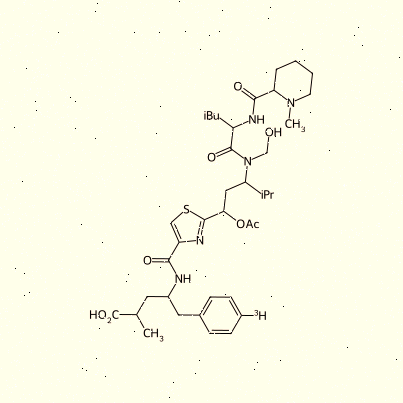 [3H]c1ccc(CC(CC(C)C(=O)O)NC(=O)c2csc(C(CC(C(C)C)N(CO)C(=O)C(NC(=O)C3CCCCN3C)C(C)CC)OC(C)=O)n2)cc1